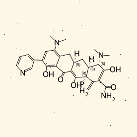 C=C1C(C(N)=O)=C(O)[C@@H](N(C)C)[C@@H]2C[C@@H]3Cc4c(N(C)C)cc(-c5cccnc5)c(O)c4C(=O)C3=C(O)[C@]12P